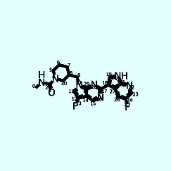 CNC(=O)N1CCCC(Cn2cc(F)c3cnc(-c4c[nH]c5ncc(F)cc45)nc32)C1